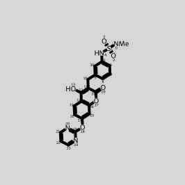 CNS(=O)(=O)Nc1cccc(Cc2c(O)c3ccc(Oc4ncccn4)cc3oc2=O)c1